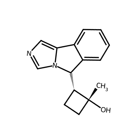 C[C@@]1(O)CC[C@@H]1C1c2ccccc2-c2cncn21